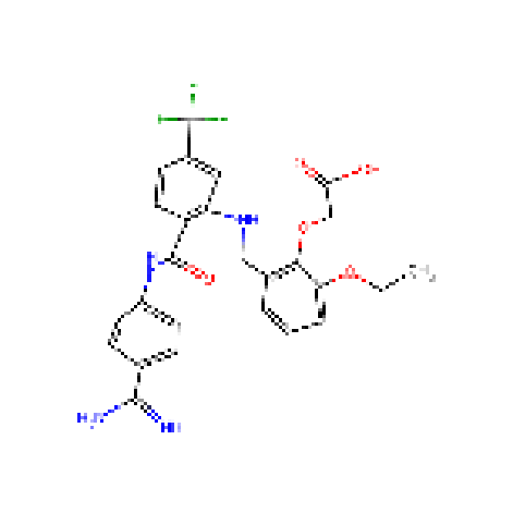 CCOc1cccc(CNc2cc(C(F)(F)F)ccc2C(=O)Nc2ccc(C(=N)N)cc2)c1OCC(=O)O